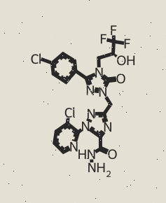 NNC(=O)c1nc(Cn2nc(-c3ccc(Cl)cc3)n(C[C@H](O)C(F)(F)F)c2=O)nn1-c1ncccc1Cl